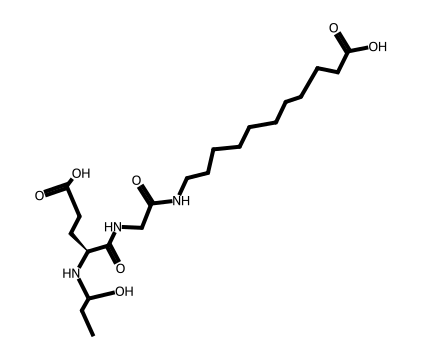 CCC(O)N[C@@H](CCC(=O)O)C(=O)NCC(=O)NCCCCCCCCCCC(=O)O